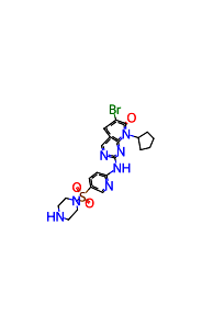 O=c1c(Br)cc2cnc(Nc3ccc(S(=O)(=O)N4CCNCC4)cn3)nc2n1C1CCCC1